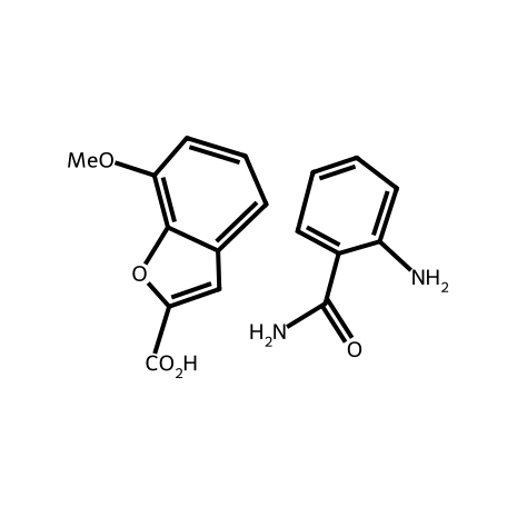 COc1cccc2cc(C(=O)O)oc12.NC(=O)c1ccccc1N